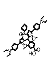 CCN(CC)c1ccc(-c2cc3c(s2)C(c2c(OC)cc(C(=O)O)cc2OC)c2sc(-c4ccc(N(CC)CC)cc4)cc2P3(=O)c2ccccc2)cc1